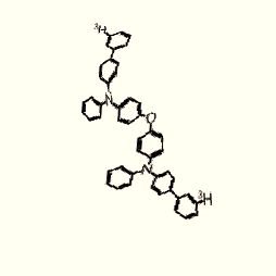 [3H]c1cccc(-c2ccc(N(c3ccccc3)c3ccc(Oc4ccc(N(c5ccccc5)c5ccc(-c6cccc([3H])c6)cc5)cc4)cc3)cc2)c1